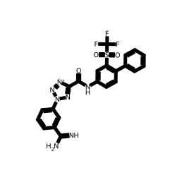 N=C(N)c1cccc(N2N=[N+]C(C(=O)Nc3ccc(-c4ccccc4)c(S(=O)(=O)C(F)(F)F)c3)=N2)c1